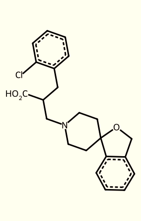 O=C(O)C(Cc1ccccc1Cl)CN1CCC2(CC1)OCc1ccccc12